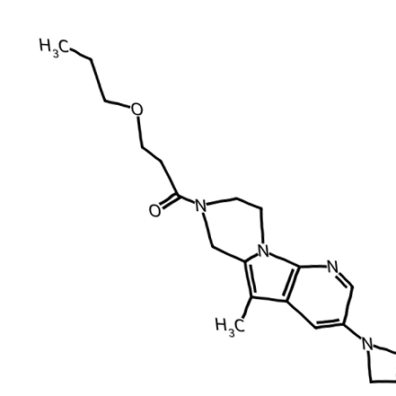 CCCOCCC(=O)N1CCn2c(c(C)c3cc(N4CCC4)cnc32)C1